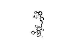 Cc1c(Cl)cccc1N1CCN(CCCNC(=O)c2nc(C)n(C3CCCC3)c2C)CC1